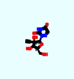 C#C[C@@]1(O)C(O)[C@@H](CO)O[C@H]1n1ncc(=O)[nH]c1=O